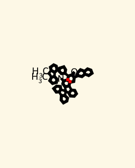 CC1(C)c2ccccc2-c2c(N(c3ccc4c(c3)C3(c5ccccc5-c5ccccc53)c3ccccc3-4)c3ccccc3-c3cccc4c3oc3cc5ccccc5cc34)cccc21